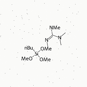 CCCC[Si](OC)(OC)OC.CN=C(NC)N(C)C